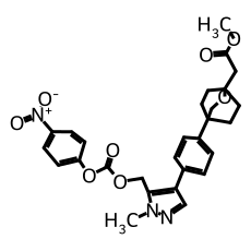 COC(=O)CC12CCC(c3ccc(-c4cnn(C)c4COC(=O)Oc4ccc([N+](=O)[O-])cc4)cc3)(CC1)CO2